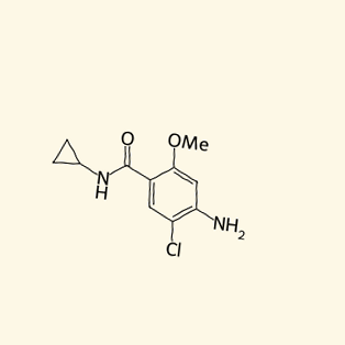 COc1cc(N)c(Cl)cc1C(=O)NC1CC1